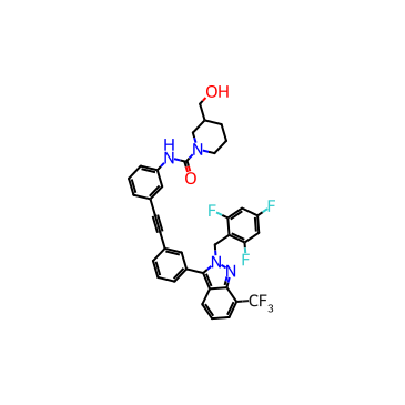 O=C(Nc1cccc(C#Cc2cccc(-c3c4cccc(C(F)(F)F)c4nn3Cc3c(F)cc(F)cc3F)c2)c1)N1CCCC(CO)C1